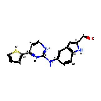 O=Cc1cc2cc(Nc3nccc(-c4cccs4)n3)ccc2[nH]1